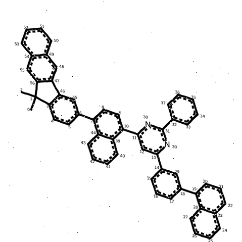 CC1(C)c2ccc(-c3ccc(-c4cc(-c5cccc(-c6cccc7ccccc67)c5)nc(-c5ccccc5)n4)c4ccccc34)cc2-c2cc3ccccc3cc21